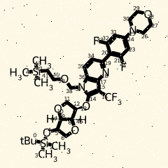 CC(C)(C)[Si](C)(C)OC1CO[C@H]2[C@@H]1OC[C@H]2Oc1c(C(F)(F)F)c2nc(-c3c(F)cc(N4CCOCC4)cc3F)ccc2n1COCC[Si](C)(C)C